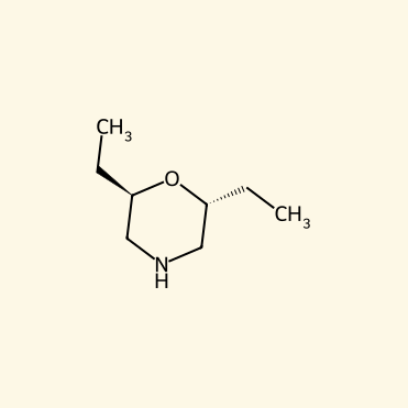 CC[C@@H]1CNC[C@@H](CC)O1